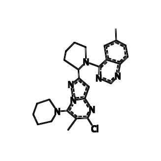 Cc1ccc2ncnc(N3CCCCC3c3cc4nc(Cl)c(C)c(N5CCCCC5)n4n3)c2c1